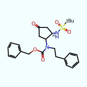 CC(C)(C)S(=O)(=O)N[C@@H]1CC(=O)CC1N(CCc1ccccc1)C(=O)OCc1ccccc1